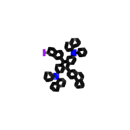 IC1C=Cc2ccc(-c3c4ccc(N(c5ccccc5)c5cccc6ccccc56)cc4c(-c4ccc5c(ccc6ccccc65)c4)c4ccc(N(c5ccccc5)c5cccc6ccccc56)cc34)cc2C1